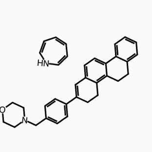 C1=C(c2ccc(CN3CCOCC3)cc2)CCc2c1ccc1c2CCc2ccccc2-1.C1=CC=CNC=C1